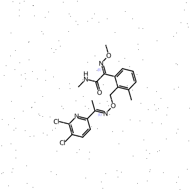 CNC(=O)/C(=N/OC)c1cccc(C)c1CO/N=C(\C)c1ccc(Cl)c(Cl)n1